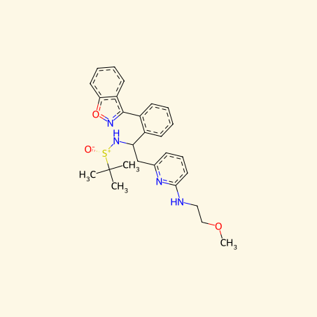 COCCNc1cccc(CC(N[S@@+]([O-])C(C)(C)C)c2ccccc2-c2noc3ccccc23)n1